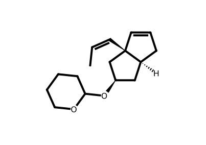 C/C=C\[C@@]12C=CC[C@H]1C[C@@H](OC1CCCCO1)C2